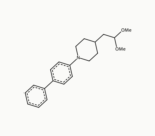 COC(CC1CCN(c2ccc(-c3c[c]ccc3)cc2)CC1)OC